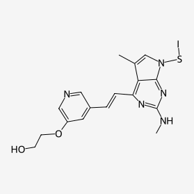 CNc1nc(/C=C/c2cncc(OCCO)c2)c2c(C)cn(SI)c2n1